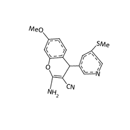 COc1ccc2c(c1)OC(N)=C(C#N)C2c1cncc(SC)c1